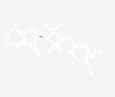 CC1(C)[C@H](Oc2cnc(C#N)c(Cl)c2)C(C)(C)[C@H]1N1CC2=NCCC=C2C1=O